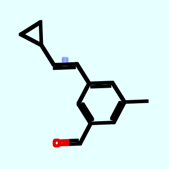 Cc1cc(C=O)cc(/C=C/C2CC2)c1